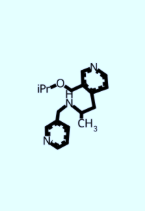 CC(Cc1ccncc1COC(C)C)NCc1cccnc1